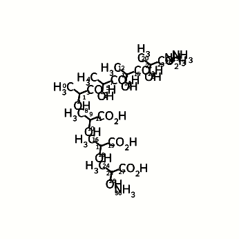 CC(O)C(=O)O.CC(O)C(=O)O.CC(O)C(=O)O.CC(O)C(=O)O.CC(O)C(=O)O.CC(O)C(=O)O.CC(O)C(=O)O.N.N.N